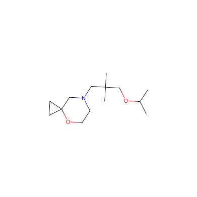 CC(C)OCC(C)(C)CN1CCOC2(CC2)C1